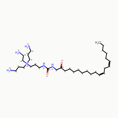 CCCCC/C=C\C/C=C\CCCCCCCCC(=O)CNC(=O)NCCC[N+](CCN)(CCCN)CCCN